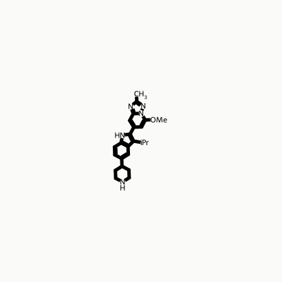 COc1cc(-c2[nH]c3ccc(C4CCNCC4)cc3c2C(C)C)cc2nc(C)nn12